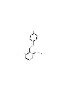 O=P(O)(O)N=C1CC(O)=CC(O)=C1CCc1ccc(O)cc1